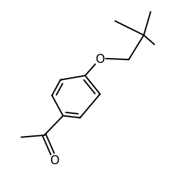 CC(=O)c1ccc(OCC(C)(C)C)cc1